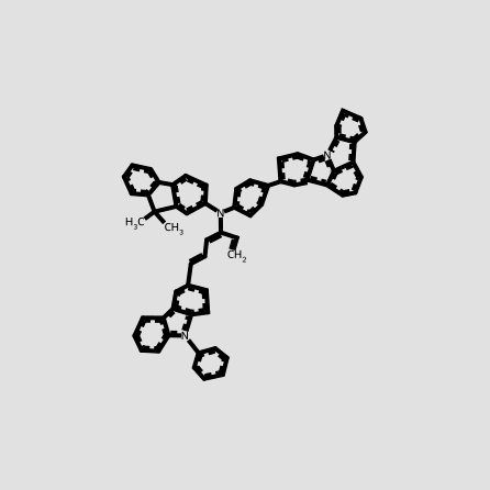 C=C/C(=C\C=C\c1ccc2c(c1)c1ccccc1n2-c1ccccc1)N(c1ccc(-c2ccc3c(c2)c2cccc4c5ccccc5n3c42)cc1)c1ccc2c(c1)C(C)(C)c1ccccc1-2